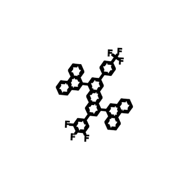 Fc1cc(-c2cc(-c3cc4ccccc4c4ccccc34)c3cc4cc(-c5ccc(C(F)(F)F)cc5)cc(-c5cc6ccccc6c6ccccc56)c4cc3c2)cc(F)c1F